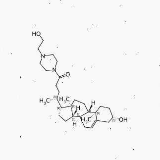 C[C@H](CCC(=O)N1CCN(CCO)CC1)[C@H]1CC[C@H]2[C@@H]3CC=C4C[C@@H](O)CC[C@]4(C)[C@H]3CC[C@]12C